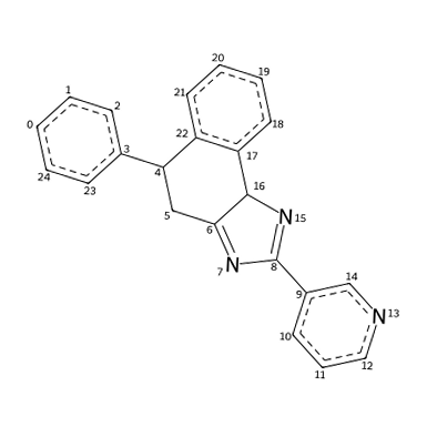 c1ccc(C2CC3=NC(c4cccnc4)=NC3c3ccccc32)cc1